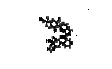 C[C@H]1C[C@@H](c2ccncc2Nc2ncc3ccc(-c4c(F)cc(C(C)(C)C#N)cc4F)nn23)C[C@@H](N)[C@]1(C)O